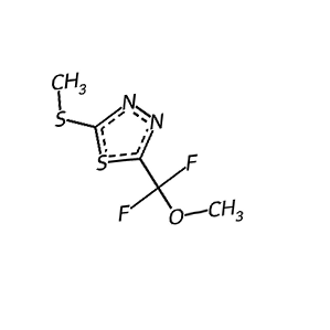 COC(F)(F)c1nnc(SC)s1